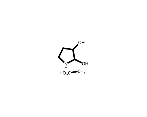 CC(=O)O.OC1CCNC1O